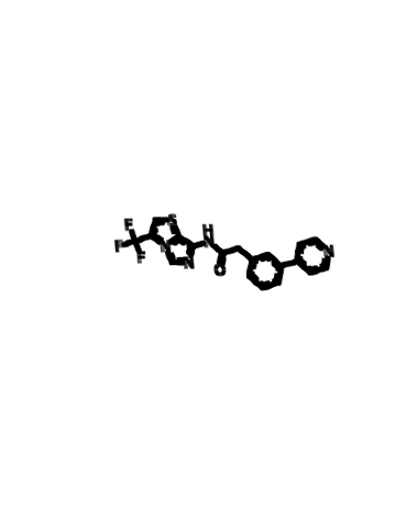 O=C(Cc1cccc(-c2ccncc2)c1)Nc1ncn2c(C(F)(F)F)csc12